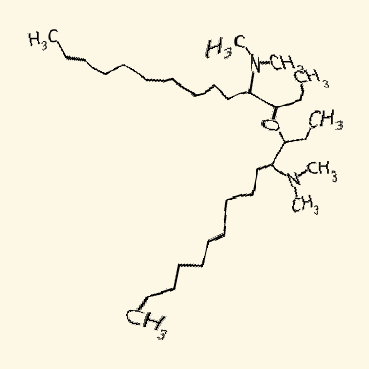 CCCCCCCCCCC(C(CC)OC(CC)C(CCCCCCCCCC)N(C)C)N(C)C